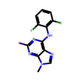 Cn1cnc2c(Nc3c(F)cccc3F)nc(I)nc21